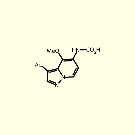 COc1c(NC(=O)O)ccn2ncc(C(C)=O)c12